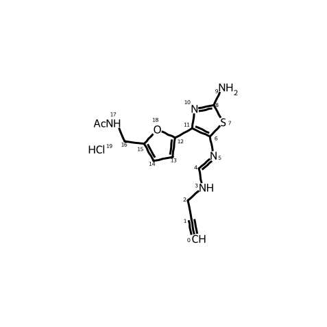 C#CCNC=Nc1sc(N)nc1-c1ccc(CNC(C)=O)o1.Cl